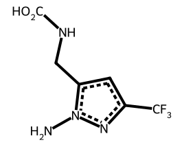 Nn1nc(C(F)(F)F)cc1CNC(=O)O